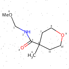 COCNC(=O)C1(C)CCOCC1